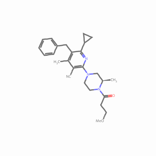 COCCC(=O)N1CCN(c2nc(C3CC3)c(Cc3ccccc3)c(C)c2C#N)C[C@H]1C